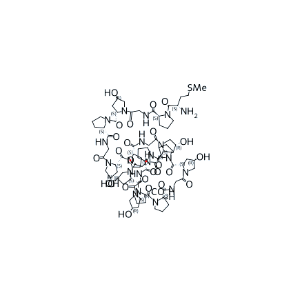 CSCC[C@H](N)C(=O)N1CCC[C@H]1C(=O)NCC(=O)N1C[C@H](O)C[C@H]1C(=O)N1CCC[C@H]1C(=O)NCC(=O)N1C[C@H](O)C[C@H]1C(=O)N1CCC[C@H]1C(=O)NCC(=O)N1C[C@H](O)C[C@H]1C(=O)N1CCC[C@H]1C(=O)NCC(=O)N1C[C@H](O)C[C@H]1C(=O)N1CCC[C@H]1C(=O)NCC(=O)N1C[C@H](O)C[C@H]1C(=O)N1CCC[C@H]1C(=O)NCC(=O)N1C[C@H](O)C[C@H]1C(=O)N1CCC[C@H]1C(=O)O